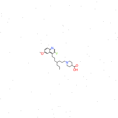 CCCC(CCCc1c(F)cnc2ccc(OC)cc12)CCCN1CCC(C(=O)O)CC1